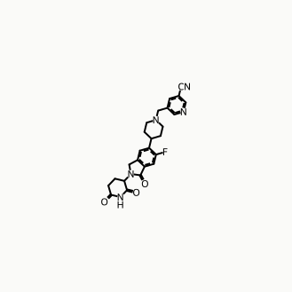 N#Cc1cncc(CN2CCC(c3cc4c(cc3F)C(=O)N(C3CCC(=O)NC3=O)C4)CC2)c1